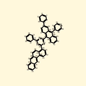 c1ccc(-c2ccc3c(-c4nc(-c5ccccc5)nc(-c5cccc6c5ccc5cc7ccccc7cc56)n4)c4ccccc4c(-c4ccncc4)c3c2)cc1